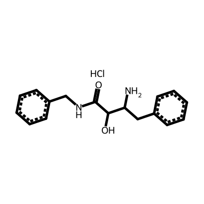 Cl.NC(Cc1ccccc1)C(O)C(=O)NCc1ccccc1